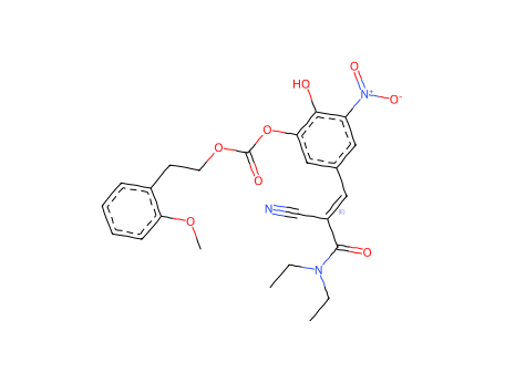 CCN(CC)C(=O)/C(C#N)=C/c1cc(OC(=O)OCCc2ccccc2OC)c(O)c([N+](=O)[O-])c1